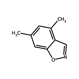 Cc1cc(C)c2cnoc2c1